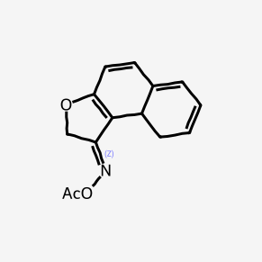 CC(=O)O/N=C1\COC2=C1C1CC=CC=C1C=C2